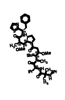 CC[C@H](C)[C@@H]([C@@H](CC(=O)N1CCC[C@H]1[C@H](OC)[C@@H](C)C(=O)N[C@@H](Cc1ccccc1)c1nccs1)OC)N(C)C(=O)[C@@H](NC(=O)C(C)(C)NC(C)C)C(C)C